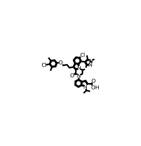 Cc1cc(OCCCc2c3n(c4c(-c5c(C)nn(C)c5C)c(Cl)ccc24)C(C)CN(c2cccc4c2cc(C(=O)O)n4C(C)C)C3=O)cc(C)c1Cl